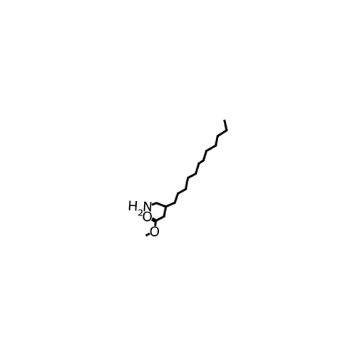 CCCCCCCCCCCCC(CN)CC(=O)OC